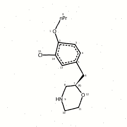 CCCOc1ccc(C[C@@H]2CNCCO2)cc1Cl